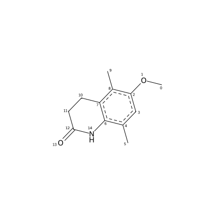 COc1cc(C)c2c(c1C)CCC(=O)N2